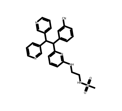 CS(=O)(=O)NCCNc1cccc(C(c2cccc(C#N)c2)C(c2cccnc2)c2cccnc2)n1